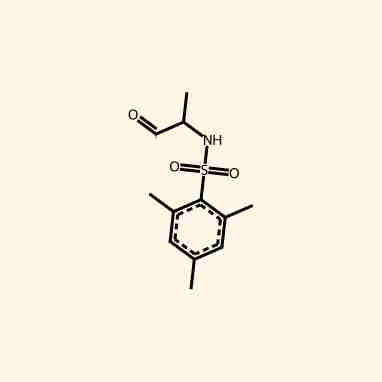 Cc1cc(C)c(S(=O)(=O)NC(C)[C]=O)c(C)c1